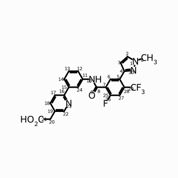 Cn1ccc(-c2cc(C(=O)Nc3cccc(-c4ccc(CC(=O)O)cn4)c3)c(F)cc2C(F)(F)F)n1